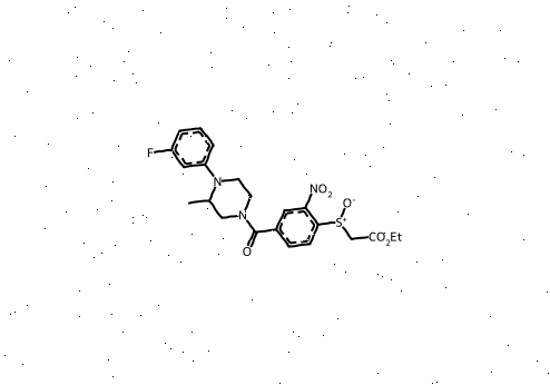 CCOC(=O)C[S+]([O-])c1ccc(C(=O)N2CCN(c3cccc(F)c3)C(C)C2)cc1[N+](=O)[O-]